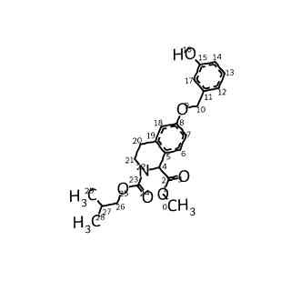 COC(=O)C1c2ccc(OCc3cccc(O)c3)cc2CCN1C(=O)OCC(C)C